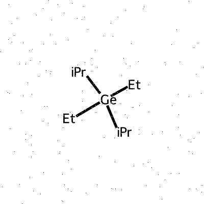 C[CH2][Ge]([CH2]C)([CH](C)C)[CH](C)C